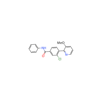 COc1cccnc1-c1ccc(C(=O)Nc2ccccc2)cc1Cl